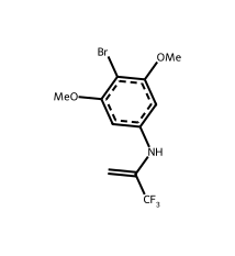 C=C(Nc1cc(OC)c(Br)c(OC)c1)C(F)(F)F